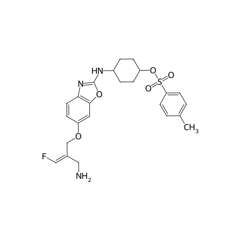 Cc1ccc(S(=O)(=O)OC2CCC(Nc3nc4ccc(OC/C(=C\F)CN)cc4o3)CC2)cc1